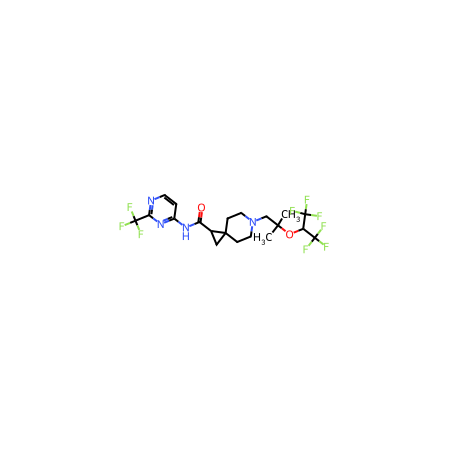 CC(C)(CN1CCC2(CC1)CC2C(=O)Nc1ccnc(C(F)(F)F)n1)OC(C(F)(F)F)C(F)(F)F